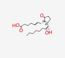 CCCCCC/C(O)=C\[C@H]1CCC(=O)[C@H]1CC=CCCCC(=O)O